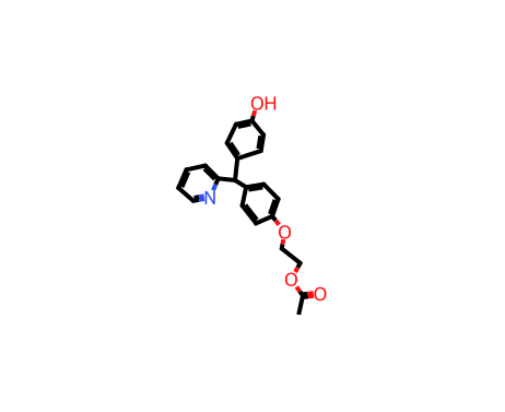 CC(=O)OCCOc1ccc(C(c2ccc(O)cc2)c2ccccn2)cc1